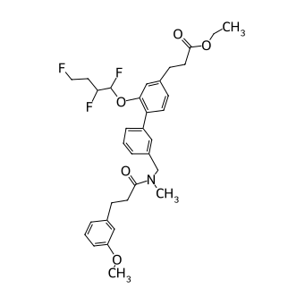 CCOC(=O)CCc1ccc(-c2cccc(CN(C)C(=O)CCc3cccc(OC)c3)c2)c(OC(F)C(F)CCF)c1